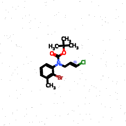 Cc1cccc(N(C/C=C/Cl)C(=O)OC(C)(C)C)c1Br